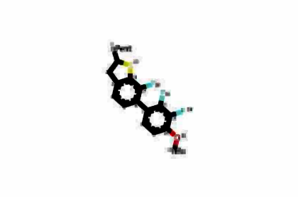 CCCCCC1Cc2ccc(-c3ccc(OCCCC)c(F)c3F)c(F)c2S1